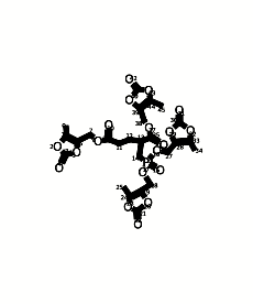 Cc1oc(=O)oc1COC(=O)CCC(CP(=O)(OCc1oc(=O)oc1C)OCc1oc(=O)oc1C)C(=O)OCc1oc(=O)oc1C